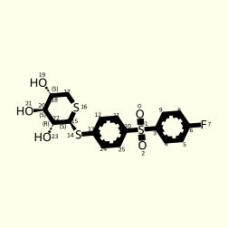 O=S(=O)(c1ccc(F)cc1)c1ccc(S[C@@H]2SC[C@@H](O)[C@H](O)[C@H]2O)cc1